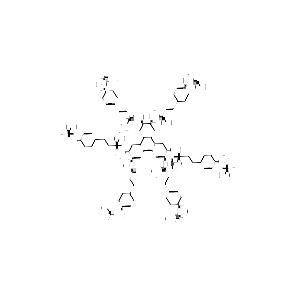 CC(=O)Oc1ccc(C=CC(=O)Oc2cc3c4cc(OC(=O)C=Cc5ccc(OC(C)=O)cc5)c(OC(=O)C=Cc5ccc(OC(C)=O)cc5)cc4c4cc(OC(=O)C=Cc5ccc(OC(C)=O)cc5)c(OC(=O)C=Cc5ccc(OC(C)=O)cc5)cc4c3cc2OC(=O)C=Cc2ccc(OC(C)=O)cc2)cc1